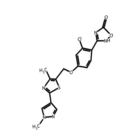 Cc1nc(-c2cnn(C)c2)sc1COc1ccc(-c2nc(=O)o[nH]2)c(Cl)c1